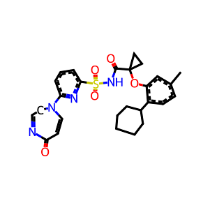 Cc1ccc(C2CCCCC2)c(OC2(C(=O)NS(=O)(=O)c3cccc(N4C=CC(=O)N=CC4)n3)CC2)c1